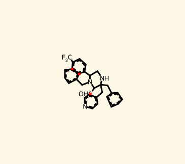 O=CC1N(Cc2ccccc2)C(c2ccc(C(F)(F)F)cc2)CNC1(Cc1ccccc1)Cc1ccncc1